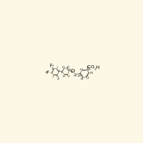 Cc1cc(F)c(F)cc1-c1ccc(OCc2cccc(C(=O)O)c2)cc1